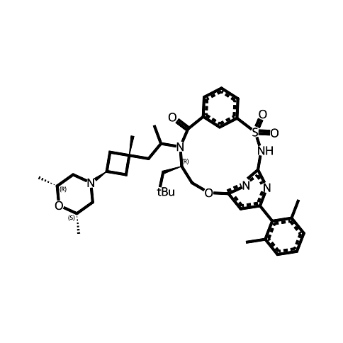 Cc1cccc(C)c1-c1cc2nc(n1)NS(=O)(=O)c1cccc(c1)C(=O)N(C(C)C[C@]1(C)C[C@@H](N3C[C@@H](C)O[C@@H](C)C3)C1)[C@H](CC(C)(C)C)CO2